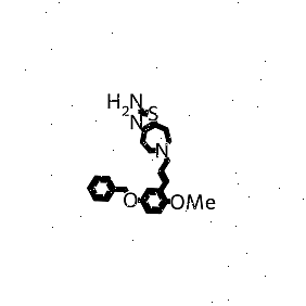 COc1ccc(OCc2ccccc2)cc1/C=C/CN1CCc2nc(N)sc2CC1